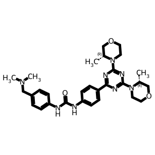 C[C@@H]1COCCN1c1nc(-c2ccc(NC(=O)Nc3ccc(CN(C)C)cc3)cc2)nc(N2CCOC[C@H]2C)n1